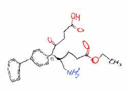 CCOC(=O)CCC(CN)[C@H](C(=O)CCC(=O)O)c1ccc(-c2ccccc2)cc1